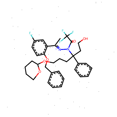 C/C(=N\N(C(=O)C(F)(F)F)C(CCO)(CCCOC1CCCCO1)c1ccccc1)c1cc(F)ccc1OCc1ccccc1